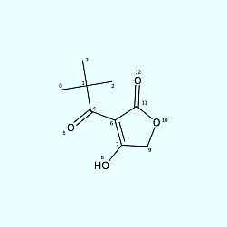 CC(C)(C)C(=O)C1=C(O)COC1=O